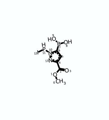 COC(=O)c1cc(B(O)O)n(PI)n1